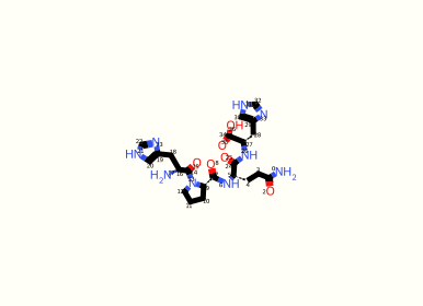 NC(=O)CC[C@H](NC(=O)[C@@H]1CCCN1C(=O)[C@@H](N)Cc1c[nH]cn1)C(=O)N[C@@H](Cc1c[nH]cn1)C(=O)O